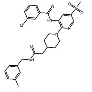 CS(=O)(=O)c1cnc(N2CCC(CC(=O)NCc3cccc(F)c3)CC2)c(NC(=O)c2cccc(Cl)c2)c1